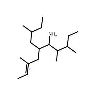 C/C=C(\C)CC(CC(C)CC)C(N)C(C)C(C)CC